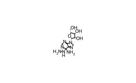 NNC1(N)N=CN=C2C1=NCN2[C@@H]1O[C@H](CO)[C@@H](O)[C@H]1O